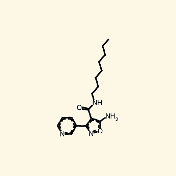 CCCCCCCCNC(=O)c1c(-c2cccnc2)noc1N